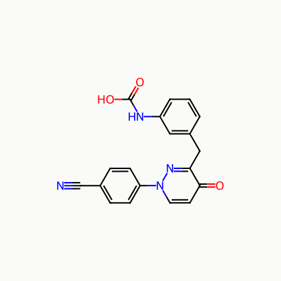 N#Cc1ccc(-n2ccc(=O)c(Cc3cccc(NC(=O)O)c3)n2)cc1